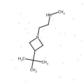 CNCCN1CC(C(C)(C)C)C1